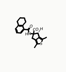 Cc1sc(C)c2c1CC(NC(=O)c1cccc3c1CCCC3)(C(=O)O)C2